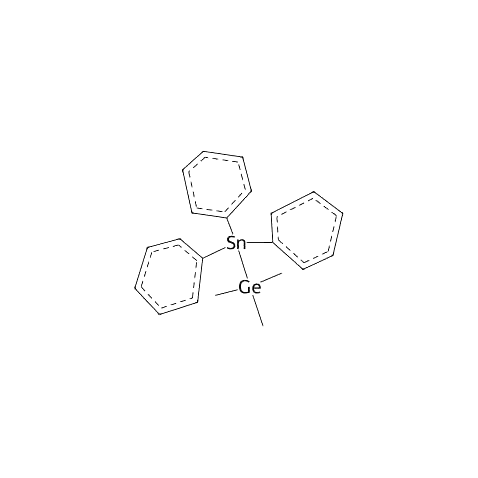 [CH3][Ge]([CH3])([CH3])[Sn]([c]1ccccc1)([c]1ccccc1)[c]1ccccc1